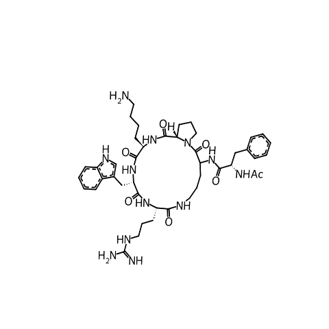 CC(=O)N[C@@H](Cc1ccccc1)C(=O)NC1CCCNC(=O)[C@H](CCCNC(=N)N)NC(=O)[C@H](Cc2c[nH]c3ccccc23)NC(=O)[C@@H](CCCCN)NC(=O)[C@@H]2CCCN2C1=O